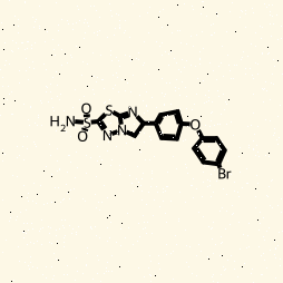 NS(=O)(=O)C1=NN2CC(c3ccc(Oc4ccc(Br)cc4)cc3)N=C2S1